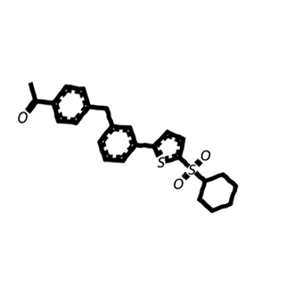 CC(=O)c1ccc(Cc2cccc(-c3ccc(S(=O)(=O)C4CCCCC4)s3)c2)cc1